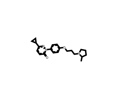 CC1CCCN1CCCOc1ccc(-n2nc(C3CC3)ccc2=O)cc1